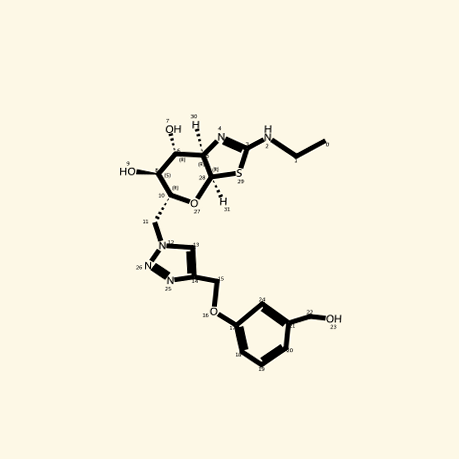 CCNC1=N[C@@H]2[C@@H](O)[C@H](O)[C@@H](Cn3cc(COc4cccc(CO)c4)nn3)O[C@@H]2S1